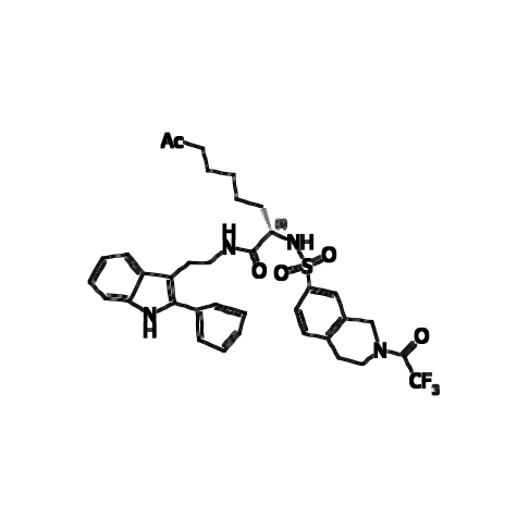 CC(=O)CCCCC[C@H](NS(=O)(=O)c1ccc2c(c1)CN(C(=O)C(F)(F)F)CC2)C(=O)NCCc1c(-c2ccccc2)[nH]c2ccccc12